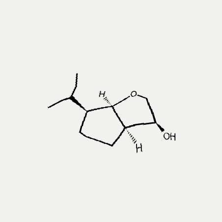 CC(C)[C@@H]1CC[C@H]2[C@@H]1OC[C@H]2O